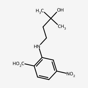 CC(C)(O)CCNc1cc([N+](=O)[O-])ccc1C(=O)O